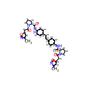 Cc1cc(CC(=O)N2CCC[C@H]2C(=O)Nc2ccc(/C=C/c3ccc(NC(=O)[C@@H]4CCCN4C(=O)Cc4cc(C)no4)cc3)cc2)on1